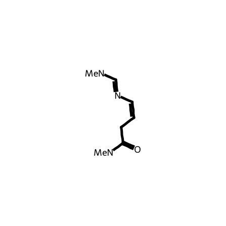 CN/C=N/C=C\CC(=O)NC